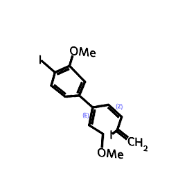 C=C(I)/C=C\C(=C/COC)c1ccc(I)c(OC)c1